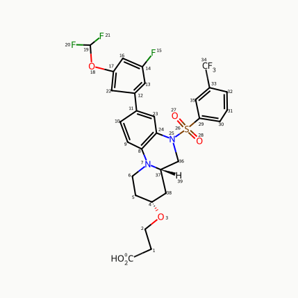 O=C(O)CCO[C@@H]1CCN2c3ccc(-c4cc(F)cc(OC(F)F)c4)cc3N(S(=O)(=O)c3cccc(C(F)(F)F)c3)C[C@@H]2C1